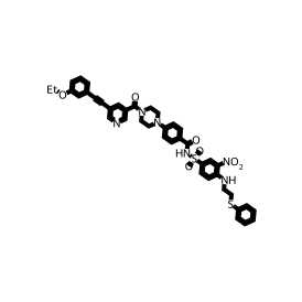 CCOc1cccc(C#Cc2cncc(C(=O)N3CCN(c4ccc(C(=O)NS(=O)(=O)c5ccc(NCCSc6ccccc6)c([N+](=O)[O-])c5)cc4)CC3)c2)c1